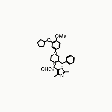 COc1ccc(N2CCN([C@@H](C=O)c3sc(C)nc3C)C(Cc3ccccc3)C2)cc1OC1CCCC1